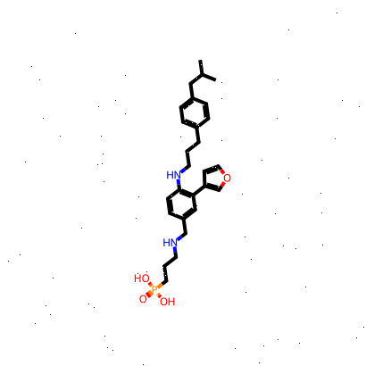 CC(C)Cc1ccc(CCCNc2ccc(CNCCCP(=O)(O)O)cc2-c2ccoc2)cc1